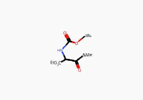 CCOC(=O)C(NC(=O)OC(C)(C)C)C(=O)NC